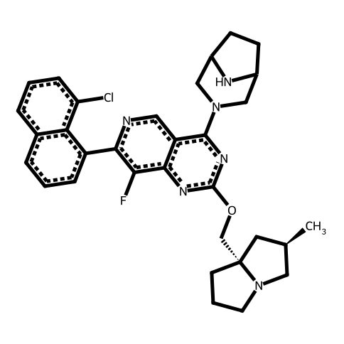 C[C@H]1CN2CCC[C@@]2(COc2nc(N3CC4CCC(C3)N4)c3cnc(-c4cccc5cccc(Cl)c45)c(F)c3n2)C1